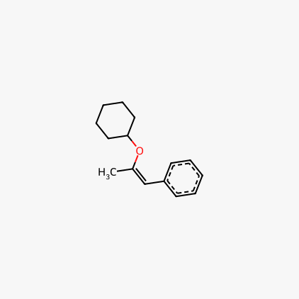 CC(=Cc1ccccc1)OC1CCCCC1